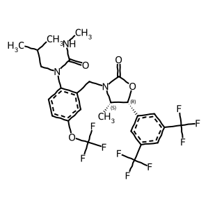 CNC(=O)N(CC(C)C)c1ccc(OC(F)(F)F)cc1CN1C(=O)O[C@H](c2cc(C(F)(F)F)cc(C(F)(F)F)c2)[C@@H]1C